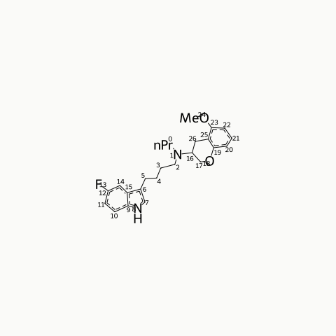 CCCN(CCCCc1c[nH]c2ccc(F)cc12)C1COc2cccc(OC)c2C1